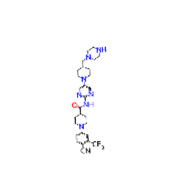 N#Cc1ccc(N2CCC(C(=O)Nc3ncc(N4CCC(CN5CCNCC5)CC4)cn3)CC2)cc1C(F)(F)F